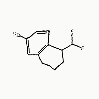 Oc1ccc2c(c1)CCCC2C(F)F